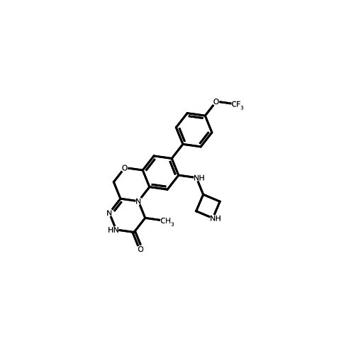 CC1C(=O)NN=C2COc3cc(-c4ccc(OC(F)(F)F)cc4)c(NC4CNC4)cc3N21